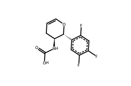 O=C(O)N[C@H]1CC=CO[C@@H]1c1cc(F)c(F)cc1F